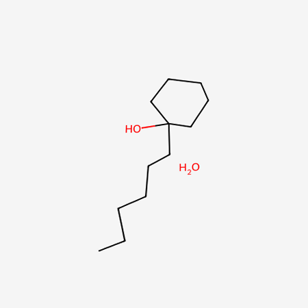 CCCCCCC1(O)CCCCC1.O